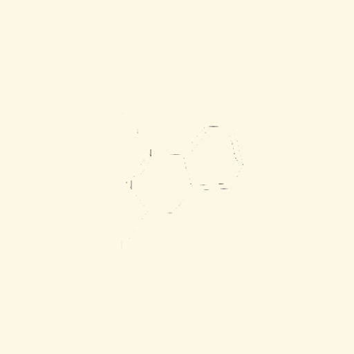 Cl.Cl.Fc1cc2ccccc2nn1